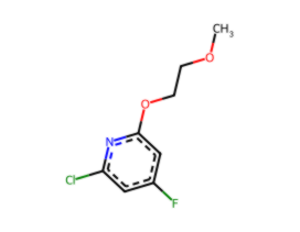 COCCOc1cc(F)cc(Cl)n1